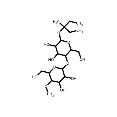 CCC(C)(CC)OC1OC(CO)C(OC2OC(CO)C(OC)C(O)C2O)C(O)C1O